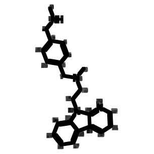 CNCc1ccc(CN(C)CCn2c3ccccc3c3cccnc32)cc1